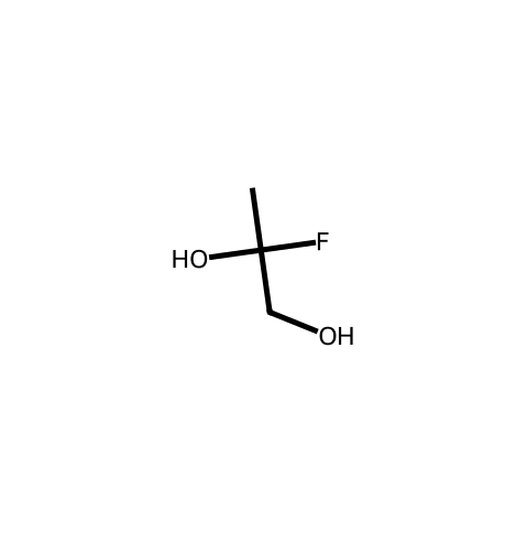 CC(O)(F)CO